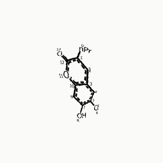 CCCc1cc2cc(Cl)c(O)cc2oc1=O